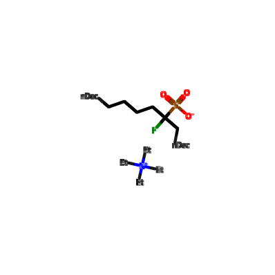 CCCCCCCCCCCCCCC(F)(CCCCCCCCCCC)S(=O)(=O)[O-].CC[N+](CC)(CC)CC